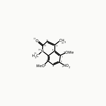 COc1c([N+](=O)[O-])cc(OC)c2c1c(C)cc(=O)n2C